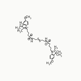 COc1ccc2c(c1)C(C)(C)C(C)=[N+]2CCCCS(=O)(=O)NCCSSCCNS(=O)(=O)CCCC[N+]1=C(C)C(C)(C)c2cc(OC)ccc21